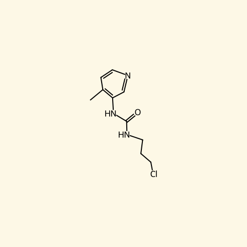 Cc1ccncc1NC(=O)NCCCCl